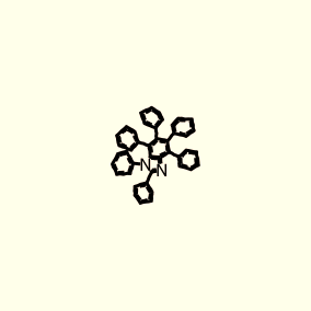 c1ccc(-c2c(-c3ccccc3)c(-c3ccccc3)c3c(nc(-c4ccccc4)n3-c3ccccc3)c2-c2ccccc2)cc1